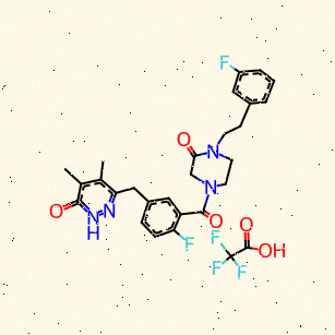 Cc1c(Cc2ccc(F)c(C(=O)N3CCN(CCc4cccc(F)c4)C(=O)C3)c2)n[nH]c(=O)c1C.O=C(O)C(F)(F)F